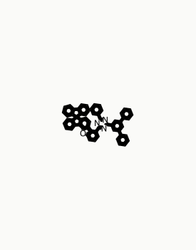 c1ccc(-c2cc(-c3ccccc3)cc(-c3nc(-c4ccccc4)nc(-c4cccc5oc6c7c(ccc6c45)C4(c5ccccc5-c5ccccc54)c4ccccc4-7)n3)c2)cc1